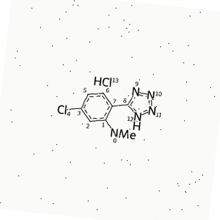 CNc1cc(Cl)ccc1-c1nnn[nH]1.Cl